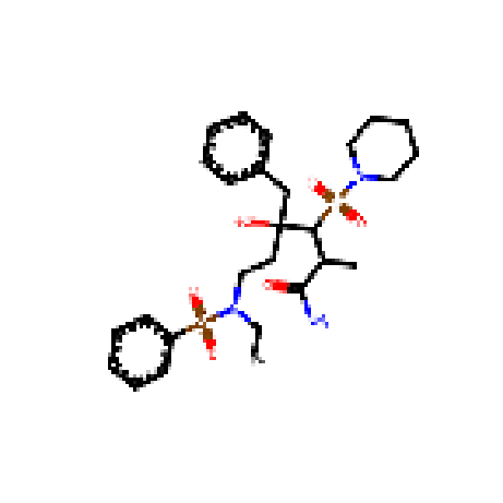 CC(C)CN(CC[C@](O)(Cc1ccccc1)C(C(C)C(N)=O)S(=O)(=O)N1CCCCC1)S(=O)(=O)c1ccccc1